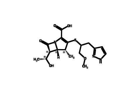 COCC(Cc1cc[nH]n1)SC1=C(C(=O)O)N2C(=O)[C@H]([C@@H](C)O)[C@H]2[C@H]1C